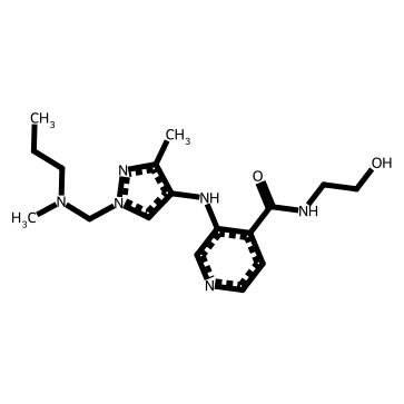 CCCN(C)Cn1cc(Nc2cnccc2C(=O)NCCO)c(C)n1